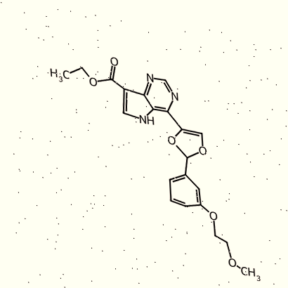 CCOC(=O)c1c[nH]c2c(C3=COC(c4cccc(OCCOC)c4)O3)ncnc12